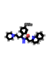 COc1ccc(C(CCN2CCCCC2)NC(=O)Cc2ccc3ccccc3n2)cc1